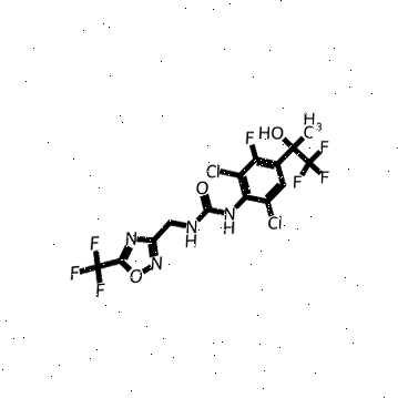 CC(O)(c1cc(Cl)c(NC(=O)NCc2noc(C(F)(F)F)n2)c(Cl)c1F)C(F)(F)F